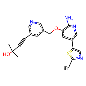 CC(C)c1ncc(-c2cnc(N)c(OCc3cncc(C#CC(C)(C)O)c3)c2)s1